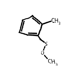 COSc1ccccc1C